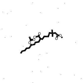 CCCCCC(CCCC(CCCCC(C)(C)CC(=O)OC)C(=O)Cl)OC(C)=O